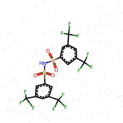 O=S(=O)(NS(=O)(=O)c1cc(C(F)(F)F)cc(C(F)(F)F)c1)c1cc(C(F)(F)F)cc(C(F)(F)F)c1